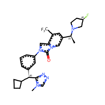 C[C@@H](c1cc(C(F)(F)F)c2cn(-c3cccc([C@H](c4nncn4C)C4CCC4)c3)c(=O)n2c1)N1CC[C@@H](F)C1